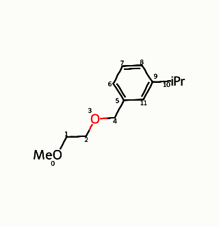 COCCOCc1cccc(C(C)C)c1